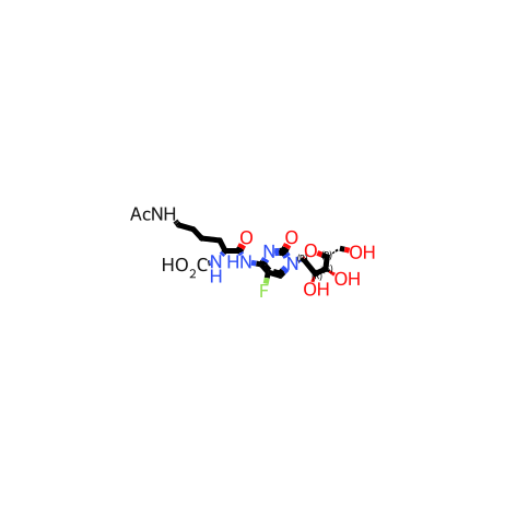 CC(=O)NCCCCC(NC(=O)O)C(=O)Nc1nc(=O)n([C@@H]2O[C@H](CO)[C@@H](O)[C@H]2O)cc1F